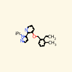 C=Cc1c(C)cccc1COc1cccnc1-c1ccnn1C(C)C